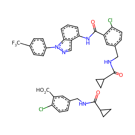 O=C(Nc1cccc2c1cnn2-c1ccc(C(F)(F)F)cc1)c1cc(CNC(=O)C2CC2)ccc1Cl.O=C(O)c1cc(CNC(=O)C2CC2)ccc1Cl